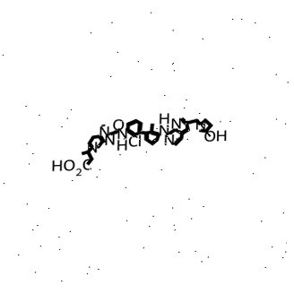 Cc1c(Nc2nccc3cc(CN4CC[C@@H](O)C4)cnc23)cccc1-c1cccc(NC(=O)c2nc3c(n2C)CCN(C(C)CC(=O)O)C3)c1Cl